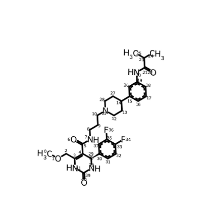 COCC1=C(C(=O)NCCCN2CCC(c3cccc(NC(=O)C(C)C)c3)CC2)[C@@H](c2ccc(F)c(F)c2)NC(=O)N1